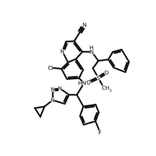 CS(=O)(=O)CC(Nc1c(C#N)cnc2c(Cl)cc(NC(c3ccc(F)cc3)c3cn(C4CC4)nn3)cc12)c1ccccc1